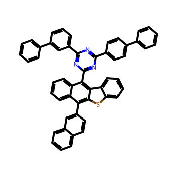 c1ccc(-c2ccc(-c3nc(-c4cccc(-c5ccccc5)c4)nc(-c4c5ccccc5c(-c5ccc6ccccc6c5)c5sc6ccccc6c45)n3)cc2)cc1